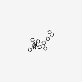 c1ccc(-c2cc(-c3ccccc3)nc(-c3cccc(-c4c(-c5ccccc5)cc(-c5ccc(-c6cccc7ccccc67)cc5)cc4-c4ccccc4)c3)n2)cc1